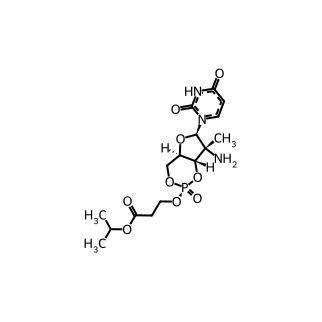 CC(C)OC(=O)CCO[P@@]1(=O)OC[C@H]2O[C@@H](n3ccc(=O)[nH]c3=O)[C@](C)(N)[C@@H]2O1